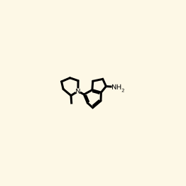 CC1CCCCN1c1cccc2c1CCC2N